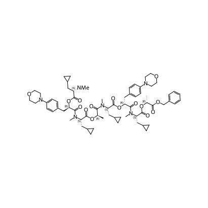 CN[C@@H](CC1CC1)C(=O)O[C@H](Cc1ccc(N2CCOCC2)cc1)C(=O)N(C)[C@@H](CC1CC1)C(=O)O[C@H](C)C(=O)N(C)[C@@H](CC1CC1)C(=O)O[C@H](Cc1ccc(N2CCOCC2)cc1)C(=O)N(C)[C@@H](CC1CC1)C(=O)O[C@H](C)C(=O)OCc1ccccc1